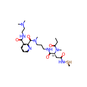 C=[SH]NC(=O)C[C@@H](C(=O)NCCCN(C)C(=O)c1ncccc1C(=O)NCCN(C)C)N(C)C(=O)CC